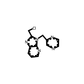 ClCc1nc2cccnc2n1Cc1cnccn1